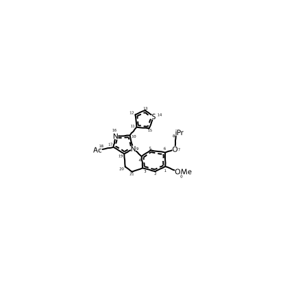 COc1cc2c(cc1OC(C)C)-n1c(-c3ccsc3)nc(C(C)=O)c1CC2